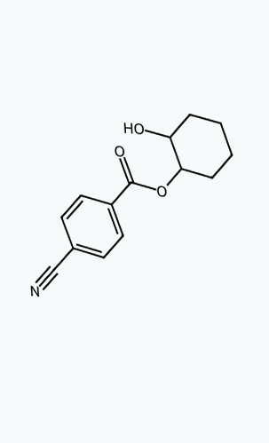 N#Cc1ccc(C(=O)OC2CCCCC2O)cc1